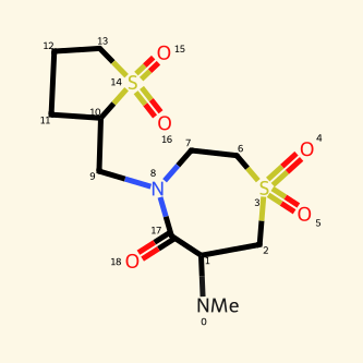 CNC1CS(=O)(=O)CCN(CC2CCCS2(=O)=O)C1=O